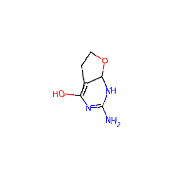 NC1=NC(O)=C2CCOC2N1